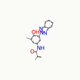 C=C(C)C(=O)Nc1cc(C)c(O)c(-n2nc3ccccc3n2)c1